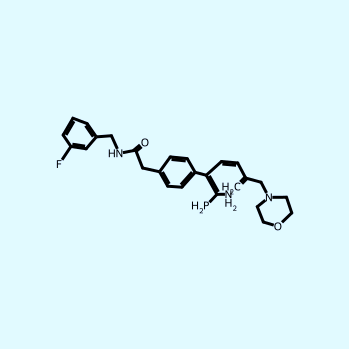 C=C(/C=C\C(=C(/N)P)c1ccc(CC(=O)NCc2cccc(F)c2)cc1)CN1CCOCC1